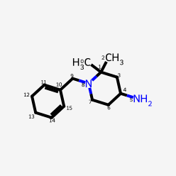 CC1(C)CC(N)CCN1CC1=CCCC=C1